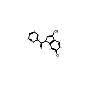 N#Cc1cn(C(=O)c2ccccn2)c2cc(Cl)ccc12